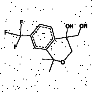 CC1(C)OCC(O)(CO)c2ccc(C(F)(F)F)cc21